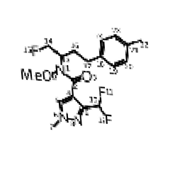 CON(C(=O)c1cn(C)nc1C(F)F)C(CF)CCc1ccc(C)cc1